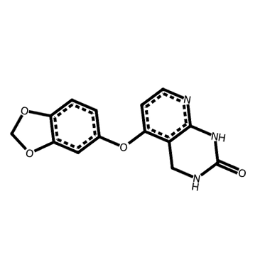 O=C1NCc2c(Oc3ccc4c(c3)OCO4)ccnc2N1